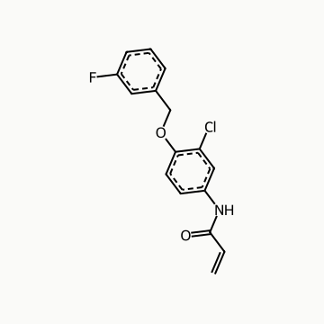 C=CC(=O)Nc1ccc(OCc2cccc(F)c2)c(Cl)c1